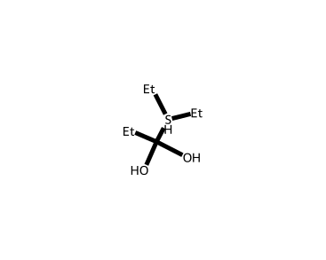 CC[SH](CC)C(O)(O)CC